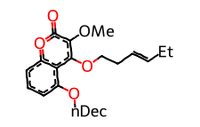 CCC=CCCOc1c(OC)c(=O)oc2cccc(OCCCCCCCCCC)c12